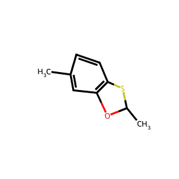 Cc1ccc2c(c1)OC(C)S2